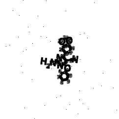 N#Cc1c(Oc2ccccc2)nc(N)nc1-c1ccc2c(c1)OCO2